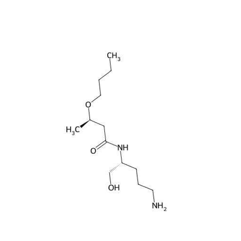 CCCCO[C@H](C)CC(=O)N[C@@H](CO)CCCN